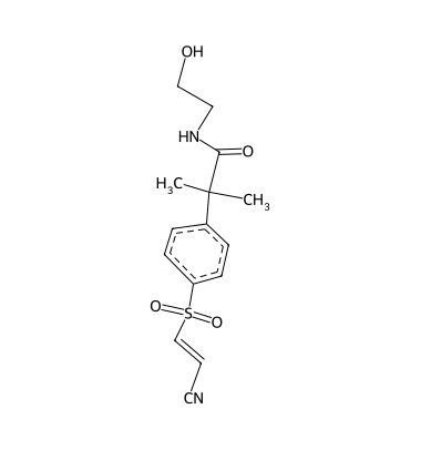 CC(C)(C(=O)NCCO)c1ccc(S(=O)(=O)C=CC#N)cc1